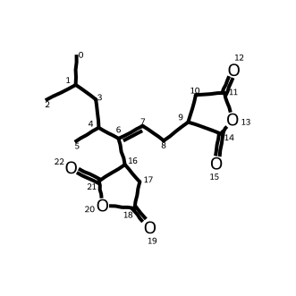 CC(C)CC(C)C(=CCC1CC(=O)OC1=O)C1CC(=O)OC1=O